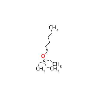 CCCCC=CO[Si](CC)(CC)CC